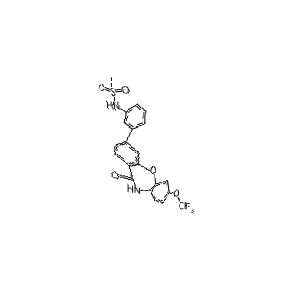 CS(=O)(=O)Nc1cccc(-c2ccc3c(c2)Oc2cc(OC(F)(F)F)ccc2NC3=O)c1